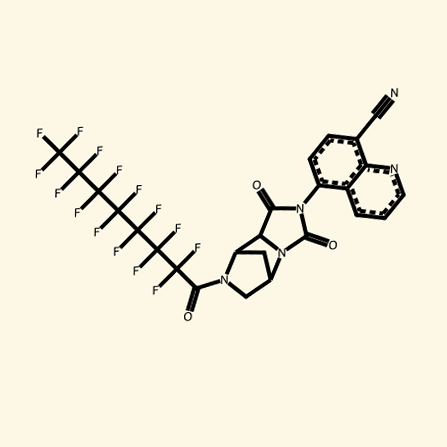 N#Cc1ccc(N2C(=O)C3C4CC(CN4C(=O)C(F)(F)C(F)(F)C(F)(F)C(F)(F)C(F)(F)C(F)(F)C(F)(F)F)N3C2=O)c2cccnc12